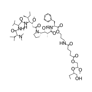 CCC(CO)OC(COC(=O)CCCC(=O)NCCCOC(=O)[C@H](Cc1ccccc1)NC(=O)[C@H](C)[C@@H](OC)[C@@H]1CCCN1C(=O)C[C@@H](OC)[C@@H](NC(=O)[C@@H](NC(=O)[C@H](C(C)C)N(C)C)C(C)C)[C@@H](C)CC)OC